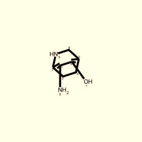 NC1=C2CCC(=C1O)CN2